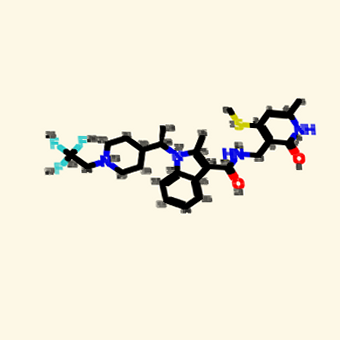 CSc1cc(C)[nH]c(=O)c1CNC(=O)c1c(C)n([C@H](C)C2CCN(CC(F)(F)F)CC2)c2ccccc12